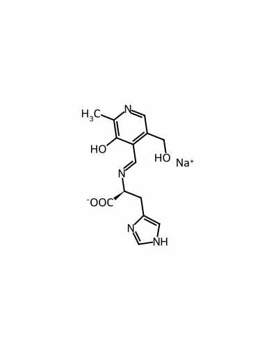 Cc1ncc(CO)c(C=N[C@@H](Cc2c[nH]cn2)C(=O)[O-])c1O.[Na+]